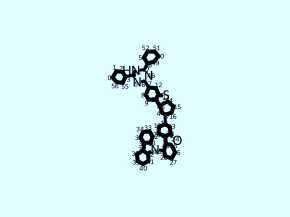 c1ccc(C2=NC(c3ccc4c(c3)sc3ccc(-c5ccc6c(c5)oc5cccc(-n7c8ccccc8c8ccccc87)c56)cc34)=NC(c3ccccc3)N2)cc1